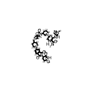 Cn1cc(Nc2nc(N3CCCC(N4CC5(CN(CC6CCN(c7ccc8c(c7)C(=O)N(C7CCC(=O)NC7=O)C8=O)CC6)C5)OC4=O)C3)cnc2C(N)=O)cn1